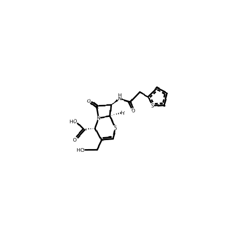 O=C(Cc1cccs1)N[C@@H]1C(=O)N2[C@@H](C(=O)O)C(CO)=CS[C@H]12